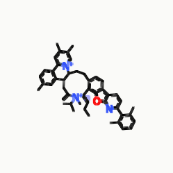 C=C1CC2c3cc(C)ccc3-c3cc(C)c(C)c[n+]3C2CCc2ccc3c(oc4nc(-c5c(C)cccc5C)ccc43)c2/C(=C/CC)[N+]1(C)C(C)C